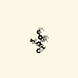 Cn1ccc(-c2ccc(Nc3cc(NC(=O)C4CC4)nc4c3nc(C(F)F)n4C3CCCCO3)c(P(C)(C)=O)c2)n1